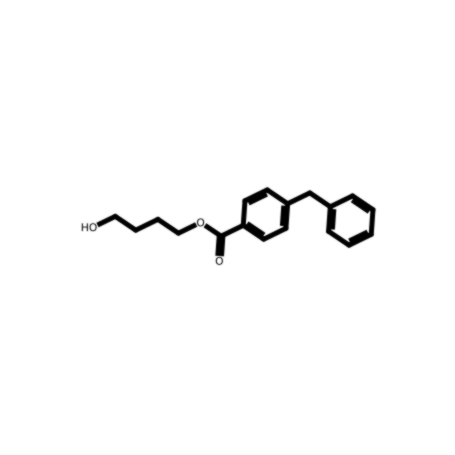 O=C(OCCCCO)c1ccc(Cc2ccccc2)cc1